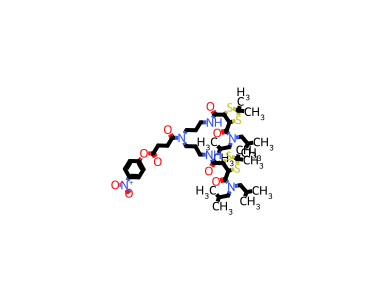 CC(C)CN(CC(C)C)C(=O)C1SC(C)(C)SC1C(=O)NCCCN(CCCNC(=O)C1SC(C)(C)SC1C(=O)N(CC(C)C)CC(C)C)C(=O)CCC(=O)Oc1ccc([N+](=O)[O-])cc1